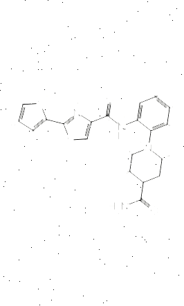 NC(=O)C1CCN(c2ccccc2NC(=O)c2csc(-c3cccs3)n2)CC1